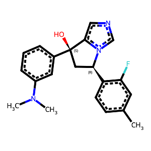 Cc1ccc([C@H]2C[C@](O)(c3cccc(N(C)C)c3)c3cncn32)c(F)c1